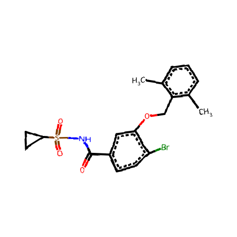 Cc1cccc(C)c1COc1cc(C(=O)NS(=O)(=O)C2CC2)ccc1Br